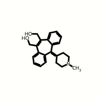 CN1CCC(=C2c3ccccc3C(CO)=C(CO)c3ccccc32)CC1